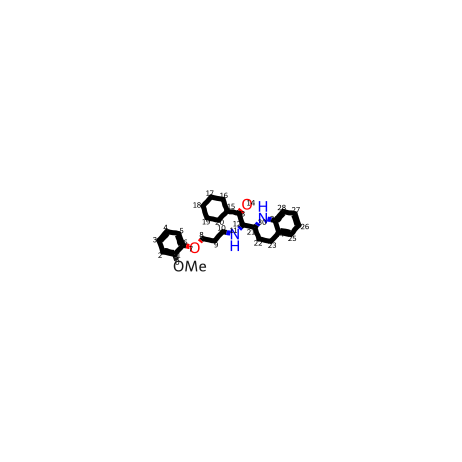 COc1ccccc1OCCCNC(C(=O)C1CCCCC1)C1CCc2ccccc2N1